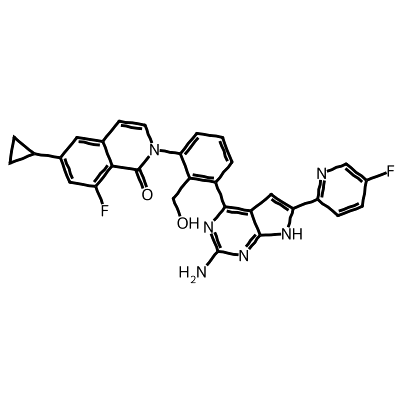 Nc1nc(-c2cccc(-n3ccc4cc(C5CC5)cc(F)c4c3=O)c2CO)c2cc(-c3ccc(F)cn3)[nH]c2n1